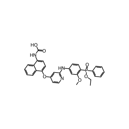 CCOP(=O)(c1ccccc1)c1ccc(Nc2cc(Oc3ccc(NC(=O)O)c4ccccc34)ccn2)cc1OC